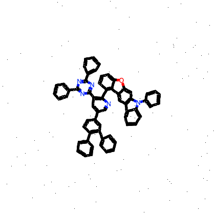 c1ccc(-c2nc(-c3ccccc3)nc(-c3cc(-c4ccc(-c5ccccc5)c(-c5ccccc5)c4)cnc3-c3cccc4oc5cc6c(cc5c34)c3ccccc3n6-c3ccccc3)n2)cc1